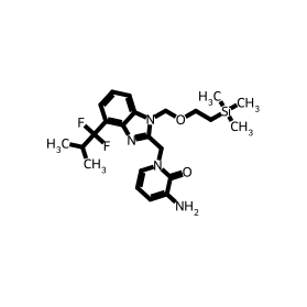 CC(C)C(F)(F)c1cccc2c1nc(Cn1cccc(N)c1=O)n2COCC[Si](C)(C)C